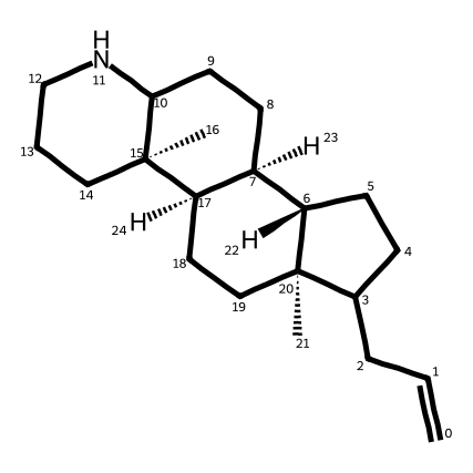 C=CCC1CC[C@H]2[C@@H]3CCC4NCCC[C@]4(C)[C@@H]3CC[C@]12C